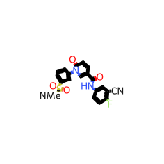 CNS(=O)(=O)c1cccc(-n2cc(C(=O)Nc3ccc(F)c(C#N)c3)ccc2=O)c1